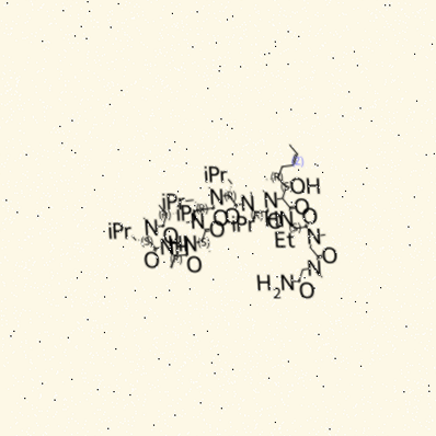 C/C=C\C[C@@H](C)[C@H](O)C(C(=O)N[C@@H](CC)C(=O)N(C)CC(=O)N(C)CC(N)=O)N(C)C(=O)[C@@H](C(C)C)N(C)C(=O)[C@@H](CC(C)C)N(C)C(=O)[C@@H](CC(C)C)N(C)C(=O)[C@H](C)NC(=O)[C@@H](C)NC(=O)[C@H](CC(C)C)N(C)C(=O)[C@H](C)C(C)C